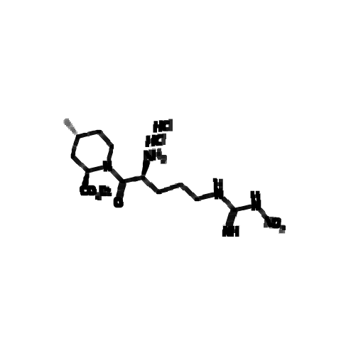 CCOC(=O)[C@H]1C[C@H](C)CCN1C(=O)[C@@H](N)CCCNC(=N)N[N+](=O)[O-].Cl.Cl